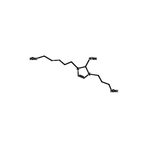 CCCCCCCCCCCCCCCN1C=CN(CCCCCCCCCCCCC)C1CCCCCC